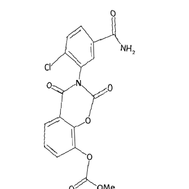 COC(=O)Oc1cccc2c(=O)n(-c3cc(C(N)=O)ccc3Cl)c(=O)oc12